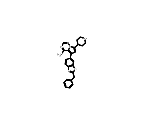 Nc1ncnn2c(C3CCNCC3)cc(-c3ccc4nc(Cc5ccccc5)oc4c3)c12